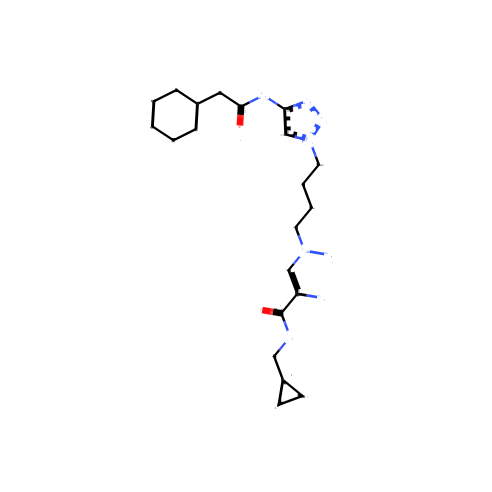 N/C(=C\N(N)CCCCn1cc(NC(=O)CC2CCCCC2)nn1)C(=O)NCC1CC1